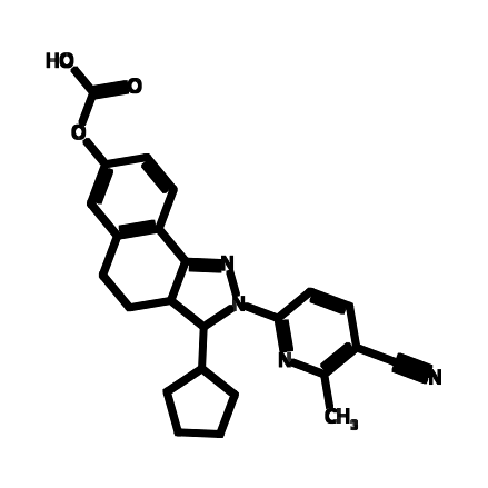 Cc1nc(N2N=C3c4ccc(OC(=O)O)cc4CCC3C2C2CCCC2)ccc1C#N